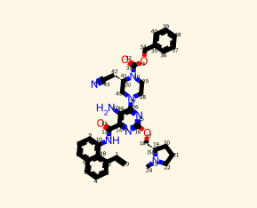 C=Cc1cccc2cccc(NC(=O)c3nc(OC[C@@H]4CCCN4C)nc(N4CCN(C(=O)OCc5ccccc5)[C@@H](CC#N)C4)c3N)c12